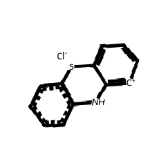 [C+]1=C2Nc3ccccc3SC2=CC=C1.[Cl-]